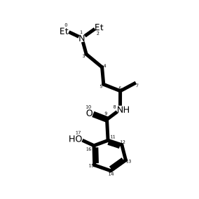 CCN(CC)CCCC(C)NC(=O)c1ccccc1O